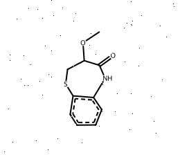 COC1CSc2ccccc2NC1=O